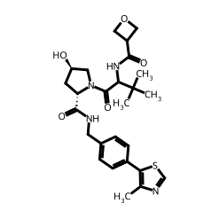 Cc1ncsc1-c1ccc(CNC(=O)[C@@H]2C[C@@H](O)CN2C(=O)C(NC(=O)C2COC2)C(C)(C)C)cc1